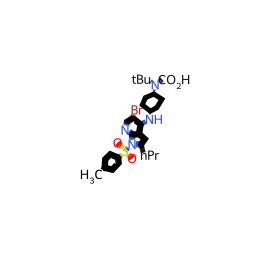 CCCc1cc2c(N[C@H]3CC[C@H](N(C(=O)O)C(C)(C)C)CC3)c(Br)cnc2n1S(=O)(=O)c1ccc(C)cc1